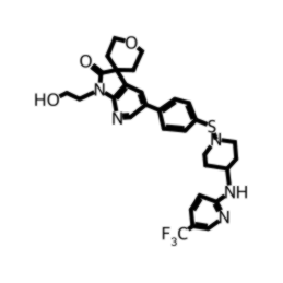 O=C1N(CCO)c2ncc(-c3ccc(SN4CCC(Nc5ccc(C(F)(F)F)cn5)CC4)cc3)cc2C12CCOCC2